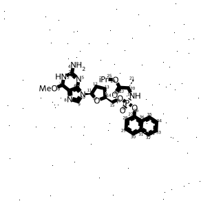 COC1NC(N)=Nc2c1ncn2[C@H]1CC[C@@H](COP(=O)(N[C@@H](C)C(=O)OC(C)C)Oc2cccc3ccccc23)O1